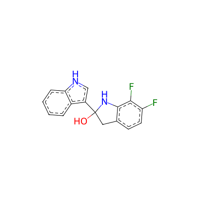 OC1(c2c[nH]c3ccccc23)Cc2ccc(F)c(F)c2N1